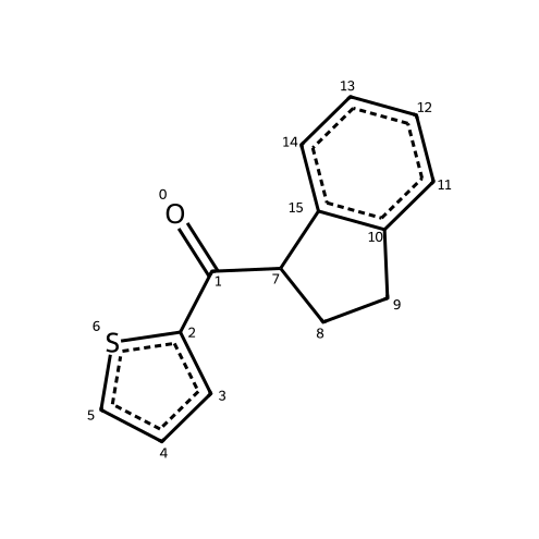 O=C(c1cccs1)C1CCc2ccccc21